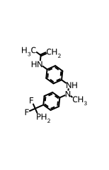 C=C(C)Nc1ccc(NN(C)c2ccc(C(F)(F)P)cc2)cc1